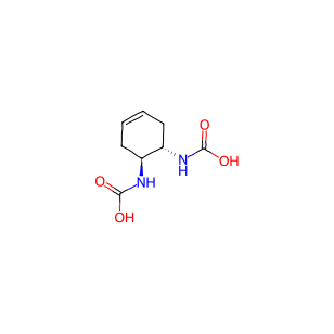 O=C(O)N[C@H]1CC=CC[C@@H]1NC(=O)O